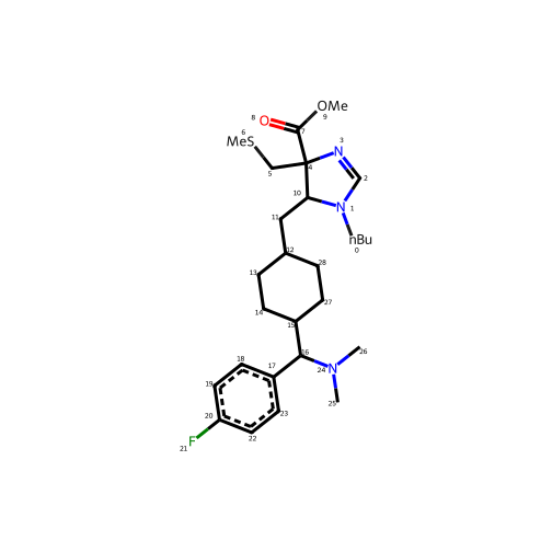 CCCCN1C=NC(CSC)(C(=O)OC)C1CC1CCC(C(c2ccc(F)cc2)N(C)C)CC1